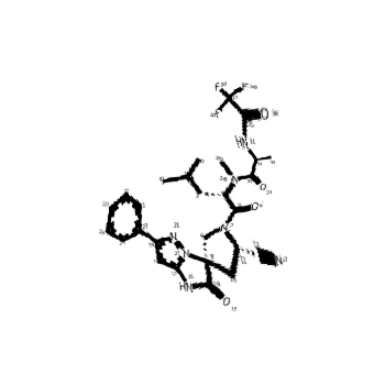 CC(C)C[C@@H](C(=O)N1C[C@]2(C[C@H]1C#N)C(=O)Nc1cc(-c3ccccc3)nn12)N(C)C(=O)[C@H](C)NC(=O)C(F)(F)F